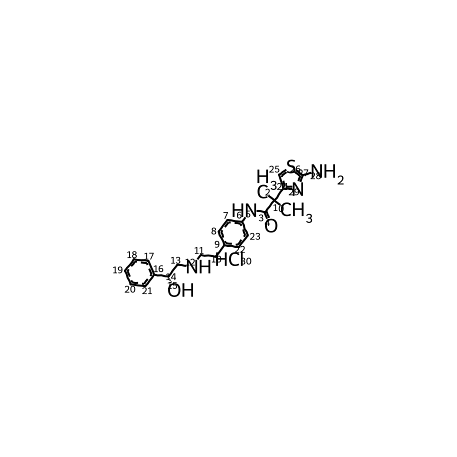 CC(C)(C(=O)Nc1ccc(CCNC[C@H](O)c2ccccc2)cc1)c1csc(N)n1.Cl